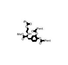 CCCC(C)C(=O)Oc1ccc(C[C@H](NCCOC(=O)C(C)C)C(=O)OC)cc1OC(=O)C(C)CCC